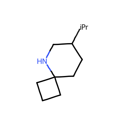 CC(C)C1CCC2(CCC2)NC1